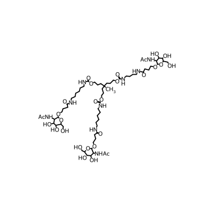 CC(=O)NC1C(OCCCC(=O)NCCCCCCNC(=O)OCCCC(C)(CCCOC(=O)NCCCCCCNC(=O)CCCOC2OC(CO)C(O)C(O)C2NC(C)=O)CCCOC(=O)NCCCCNC(=O)CCCOC2OC(CO)C(O)C(O)C2NC(C)=O)OC(CO)C(O)C1O